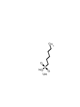 CCCCCCS(=O)(=O)O.[LiH]